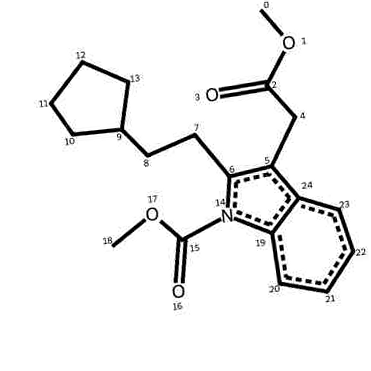 COC(=O)Cc1c(CCC2CCCC2)n(C(=O)OC)c2ccccc12